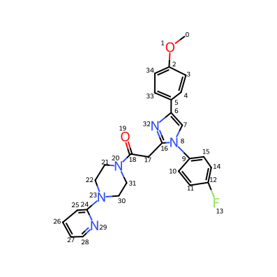 COc1ccc(-c2cn(-c3ccc(F)cc3)c(CC(=O)N3CCN(c4ccccn4)CC3)n2)cc1